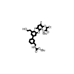 CCC(Oc1nc(Oc2cc(CCO)cc(-c3cccc(CNC(=O)OC(C)(C)C)c3)c2)c(F)cc1F)C(=O)OC(C)(C)C